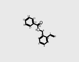 C=Cc1ccccc1COC(=O)c1ccccc1